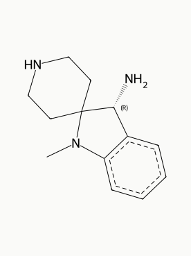 CN1c2ccccc2[C@@H](N)C12CCNCC2